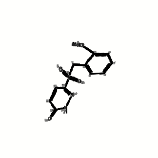 COc1ccccc1CS(=O)(=O)c1ccc(=O)[nH]n1